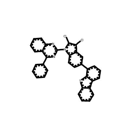 Clc1c(Cl)n(-c2nc(-c3ccccc3)c3ccccc3n2)c2ccc(-c3cccc4c3sc3ccccc34)cc12